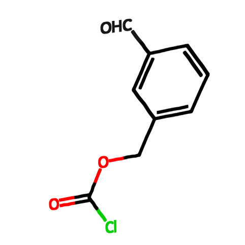 O=Cc1cccc(COC(=O)Cl)c1